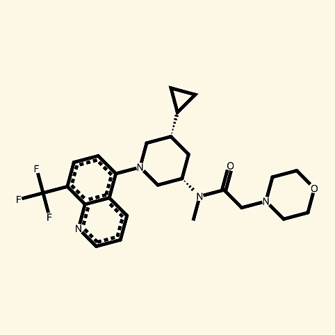 CN(C(=O)CN1CCOCC1)[C@H]1C[C@@H](C2CC2)CN(c2ccc(C(F)(F)F)c3ncccc23)C1